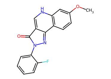 COc1ccc2c3nn(-c4ccccc4F)c(=O)c-3c[nH]c2c1